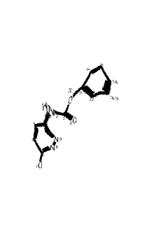 O=C(Nc1ccc(Cl)nn1)Oc1ccccc1